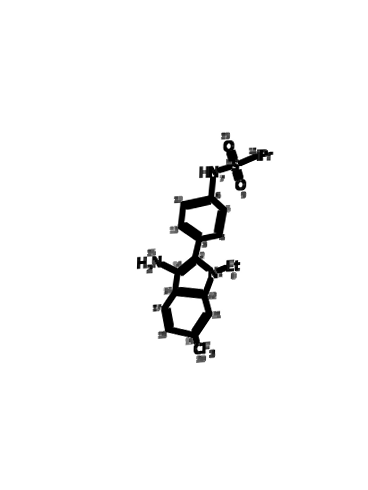 CCn1c(-c2ccc(NS(=O)(=O)C(C)C)cc2)c(N)c2ccc(C(F)(F)F)cc21